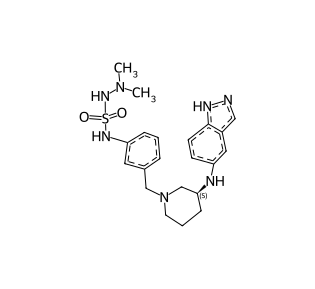 CN(C)NS(=O)(=O)Nc1cccc(CN2CCC[C@H](Nc3ccc4[nH]ncc4c3)C2)c1